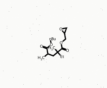 CCCCOC(=O)C(C)CC(C)(CC)C(=O)OCC1CO1